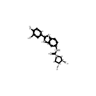 O=C(Nc1ccc2sc(-c3ccc(F)c(F)c3)nc2c1)N1C[C@@H](F)[C@H](F)C1